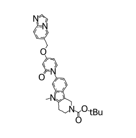 Cn1c2c(c3ccc(-n4ccc(OCc5ccc6nccn6c5)cc4=O)cc31)CN(C(=O)OC(C)(C)C)CC2